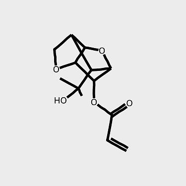 C=CC(=O)OC1C2OCC3C2OC1C3C(C)(C)O